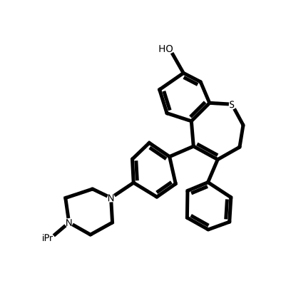 CC(C)N1CCN(c2ccc(C3=C(c4ccccc4)CCSc4cc(O)ccc43)cc2)CC1